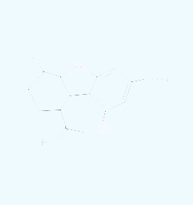 C=C(C)C1CCC(C)C2Oc3cc(CCCCC)cc(O)c3C12